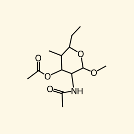 CCC1OC(OC)C(NC(C)=O)C(OC(C)=O)C1C